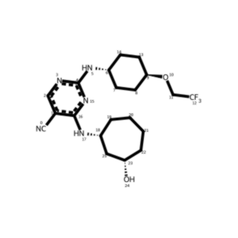 N#Cc1cnc(N[C@H]2CC[C@H](OCC(F)(F)F)CC2)nc1N[C@@H]1CCCC[C@H](O)C1